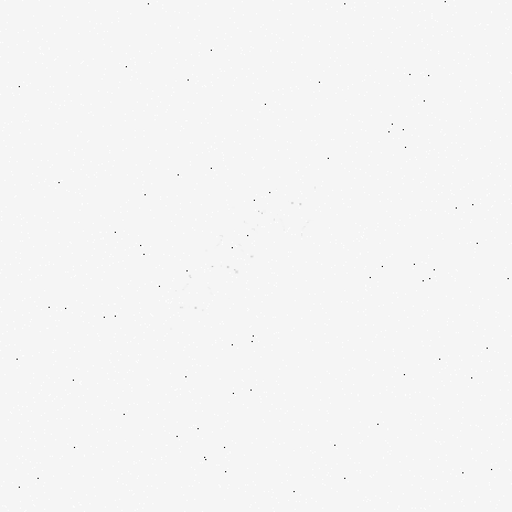 Cc1c(CO)cccc1NS(=O)(=O)c1ccc(-c2ccc(F)cc2F)cc1